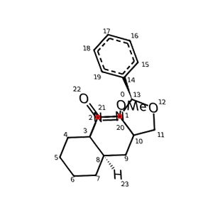 COC1=NC23CCCC[C@@H]2CC12CO[C@H](c1ccccc1)N2C3=O